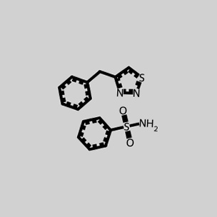 NS(=O)(=O)c1ccccc1.c1ccc(Cc2csnn2)cc1